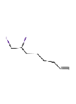 C=CCCCCC(I)CI